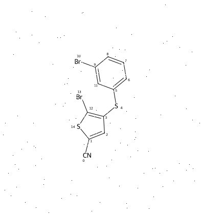 N#Cc1cc(Sc2cccc(Br)c2)c(Br)s1